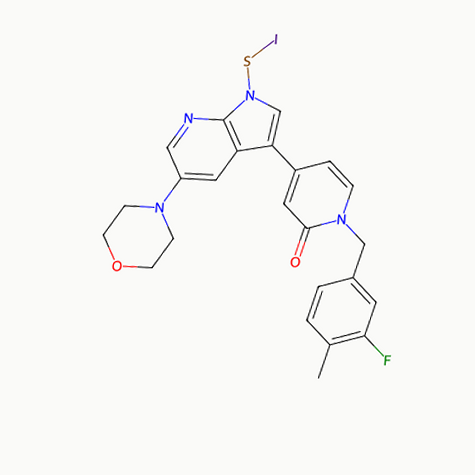 Cc1ccc(Cn2ccc(-c3cn(SI)c4ncc(N5CCOCC5)cc34)cc2=O)cc1F